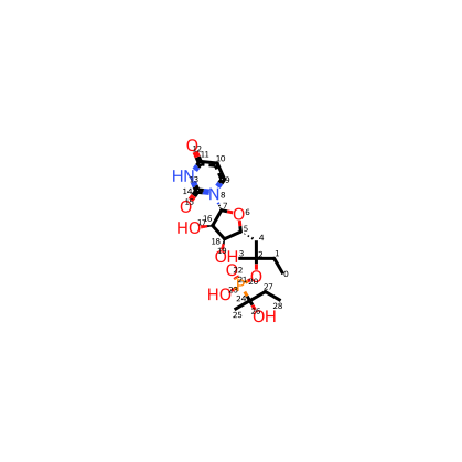 CCC(C)(C[C@H]1O[C@@H](n2ccc(=O)[nH]c2=O)[C@H](O)[C@@H]1O)OP(=O)(O)C(C)(O)CC